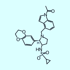 CC(=O)n1ccc2c(CN3CCC(NS(=O)(=O)C4CC4)[C@H]3c3ccc4c(c3)OCCO4)cccc21